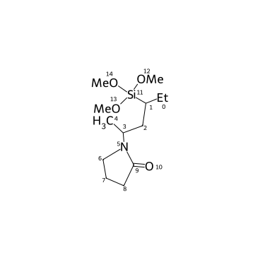 CCC(CC(C)N1CCCC1=O)[Si](OC)(OC)OC